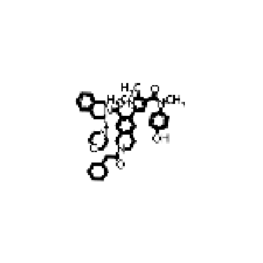 Cc1c(C(=O)N(C)c2ccc(O)cc2)cc(-c2cc3c(cc2C(=O)N2Cc4ccccc4C[C@H]2CN2CCOCC2)CN(C(=O)CC2CCCCC2)CC3)n1C